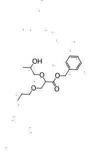 CCCOCC(OCC(C)O)C(=O)OCc1ccccc1